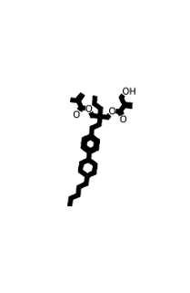 C=C(C)C(=O)OCC(CCC)(CCc1ccc(C2CCC(CCCCC)CC2)cc1)COC(=O)C(=C)CO